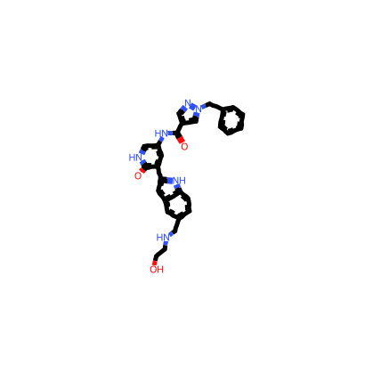 O=C(Nc1c[nH]c(=O)c(-c2cc3cc(CNCCO)ccc3[nH]2)c1)c1cnn(Cc2ccccc2)c1